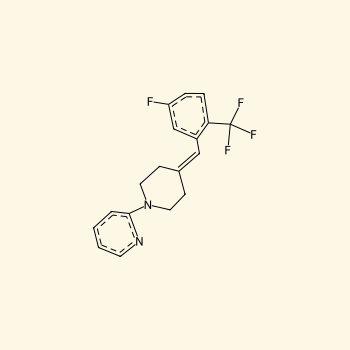 Fc1ccc(C(F)(F)F)c(C=C2CCN(c3ccccn3)CC2)c1